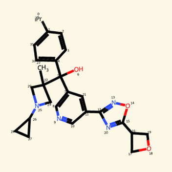 CC(C)c1ccc(C(O)(c2cncc(-c3noc(C4COC4)n3)c2)C2(C)CN(C3CC3)C2)cc1